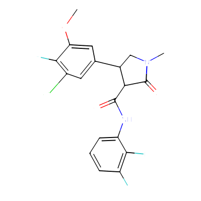 COc1cc(C2CN(C)C(=O)C2C(=O)Nc2cccc(F)c2F)cc(Cl)c1F